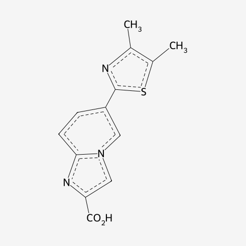 Cc1nc(-c2ccc3nc(C(=O)O)cn3c2)sc1C